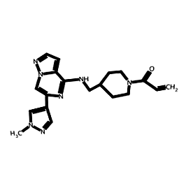 C=CC(=O)N1CCC(CNc2nc(-c3cnn(C)c3)cn3nccc23)CC1